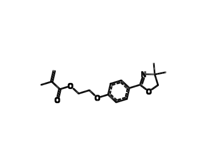 C=C(C)C(=O)OCCOc1ccc(C2=NC(C)(C)CO2)cc1